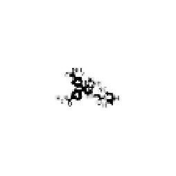 N#CC1C[C@@H]2C[C@@H]2N1C(=O)CNCCC(c1ccc(C(N)=O)cc1)(c1ccc(C(N)=O)cc1)c1nn[nH]n1